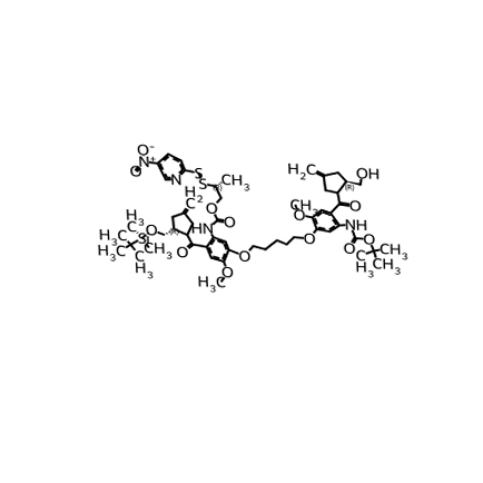 C=C1CC(C(=O)c2cc(OC)c(OCCCCCOc3cc(NC(=O)OC(C)(C)C)c(C(=O)C4CC(=C)C[C@H]4CO)cc3OC)cc2NC(=O)OC[C@@H](C)SSc2ccc([N+](=O)[O-])cn2)[C@H](CO[Si](C)(C)C(C)(C)C)C1